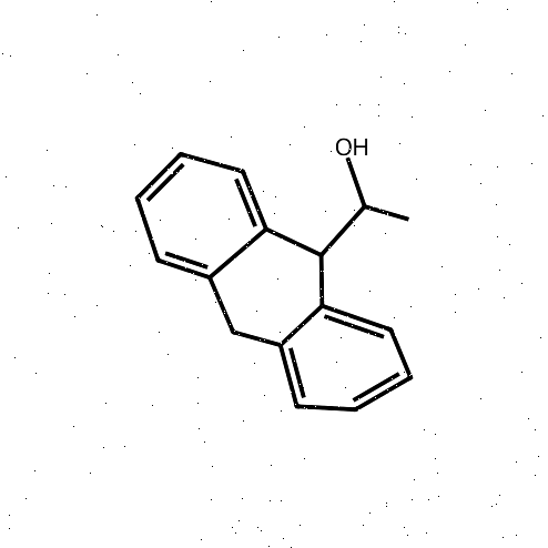 CC(O)C1c2ccccc2Cc2ccccc21